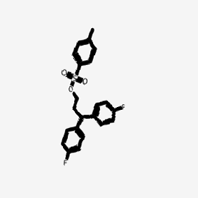 Cc1ccc(S(=O)(=O)OCCC(c2ccc(F)cc2)c2ccc(F)cc2)cc1